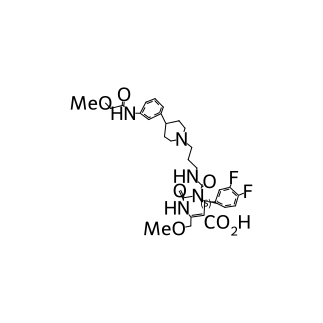 COCC(=O)Nc1cccc(C2CCN(CCCNC(=O)N3C(=O)NC(COC)=C(C(=O)O)[C@@H]3c3ccc(F)c(F)c3)CC2)c1